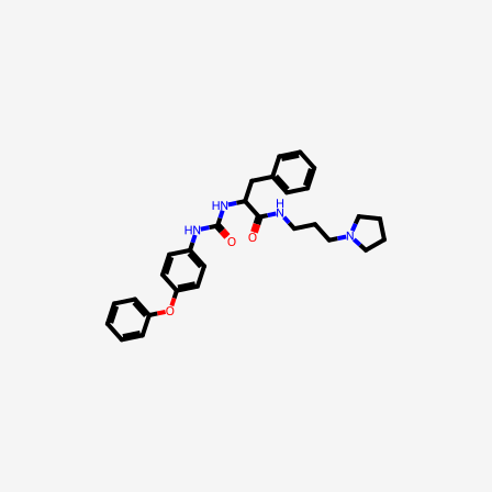 O=C(Nc1ccc(Oc2ccccc2)cc1)NC(Cc1ccccc1)C(=O)NCCCN1CCCC1